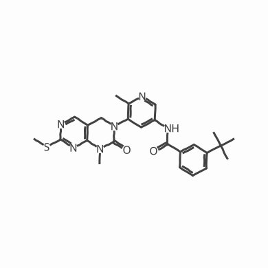 CSc1ncc2c(n1)N(C)C(=O)N(c1cc(NC(=O)c3cccc(C(C)(C)C)c3)cnc1C)C2